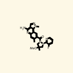 COC1(C)CN(C(=O)c2cc3c(cc2C)nc(N)c2cnn(C)c23)N(c2ncccc2F)C1